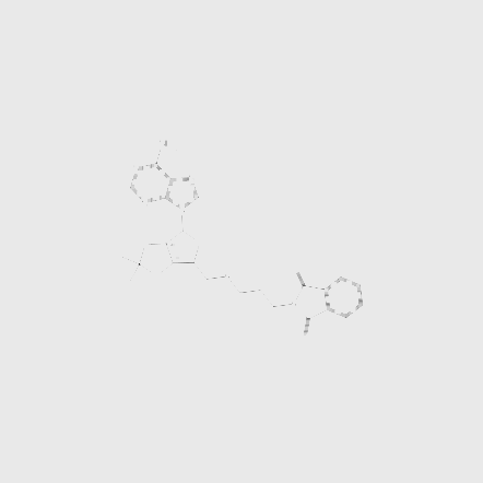 CC1(C)O[C@@H]2C(CNCCCN3C(=O)c4ccccc4C3=O)OC(n3cnc4c(N)ncnc43)[C@@H]2O1